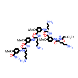 CCOC(=O)CC(=O)N[C@@H](CCCCN)C(=O)Nc1ccc(OC)c(C(=O)N[C@@H](CCCCN)C(=O)Nc2ccc(OC)c(C(=O)N[C@@H](CCCCN)C(=O)Nc3ccc(OC)c(C(=O)N[C@@H](CCCCCN)C(=O)Nc4ccc(OC)c(C(N)=O)c4)c3)c2)c1